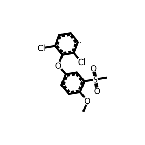 COc1ccc(Oc2c(Cl)[c]ccc2Cl)cc1S(C)(=O)=O